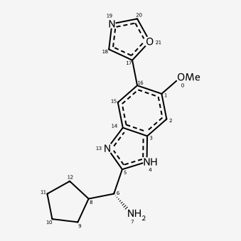 COc1cc2[nH]c([C@H](N)C3CCCC3)nc2cc1-c1cnco1